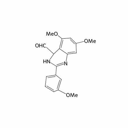 COc1cccc(C2=Nc3cc(OC)cc(OC)c3C(C=O)N2)c1